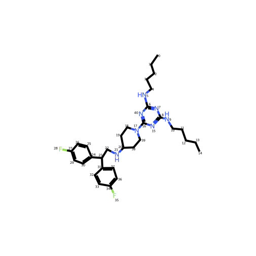 CCCCCNc1nc(NCCCCC)nc(N2CCC(NCC(c3ccc(F)cc3)c3ccc(F)cc3)CC2)n1